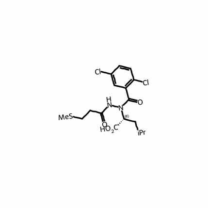 CSCCC(=O)NN(C(=O)c1cc(Cl)ccc1Cl)[C@H](CC(C)C)C(=O)O